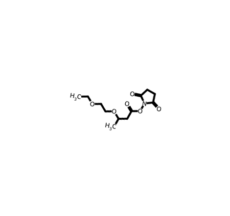 CCOCCOC(C)CC(=O)ON1C(=O)CCC1=O